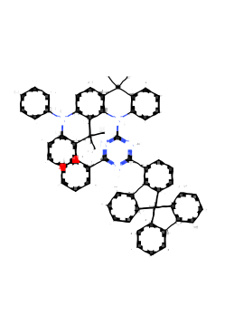 CC1(C)c2ccccc2N(c2nc(-c3ccccc3)nc(-c3cccc4c3-c3ccccc3C43c4ccccc4-c4ccccc43)n2)c2c1ccc1c2C(C)(C)c2ccccc2N1c1ccccc1